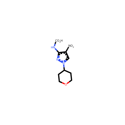 O=C(O)Nc1nn(C2CCOCC2)cc1[N+](=O)[O-]